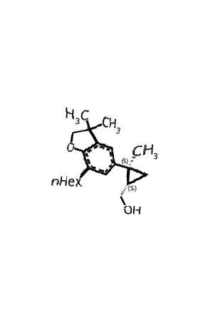 CCCCCCc1cc([C@@]2(C)C[C@@H]2CO)cc2c1OCC2(C)C